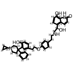 O=c1ccc2c([C@@H](O)CNCCc3ccc(OCCc4ccc(O)c(C5(c6ccccc6)CCN(C6CC6)CC5)c4)cc3)ccc(O)c2[nH]1